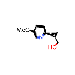 COc1ccc(C2C[C@H]2CO)nc1